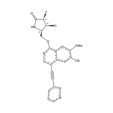 CC[C@@H]1[C@H](F)C(=O)N[C@@H]1COc1ncc(C#Cc2cccnc2)c2cc(C#N)c(OC)cc12